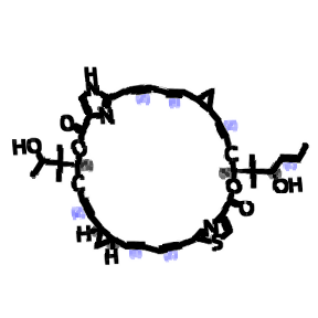 C/C=C/[C@H](O)C(C)(C)[C@@H]1C/C=C\C2CC2/C=C/C=C\c2nc(c[nH]2)C(=O)O[C@H](C(C)(C)C(C)O)C/C=C\[C@H]2C[C@H]2/C=C/C=C\c2nc(cs2)C(=O)O1